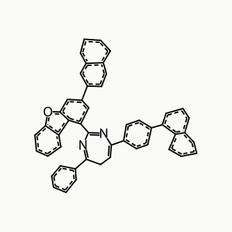 C1=C(c2ccc(-c3cccc4ccccc34)cc2)N=C(c2cc(-c3ccc4ccccc4c3)cc3oc4ccccc4c23)N=C(c2ccccc2)C1